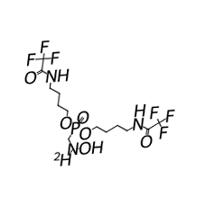 [2H]N(O)CP(=O)(OCCCCNC(=O)C(F)(F)F)OCCCCNC(=O)C(F)(F)F